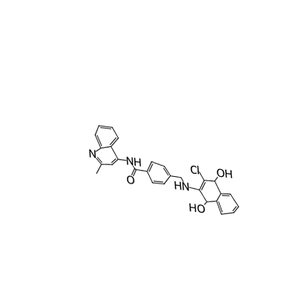 Cc1cc(NC(=O)c2ccc(CNC3=C(Cl)C(O)c4ccccc4C3O)cc2)c2ccccc2n1